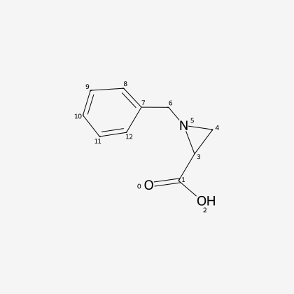 O=C(O)C1CN1Cc1ccccc1